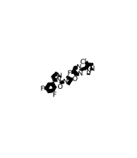 Cn1ncc(Cl)c1-c1ncc(F)c(OC2CN(C(=O)N3N=CC[C@H]3c3cc(F)cc(F)c3)C2)n1